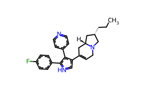 CCC[C@H]1C[C@H]2CC(c3c[nH]c(-c4ccc(F)cc4)c3-c3ccncc3)=CCN2C1